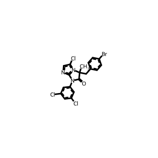 CC1(Cc2ccc(Br)cc2)C(=O)N(c2cc(Cl)cc(Cl)c2)c2ncc(Cl)n21